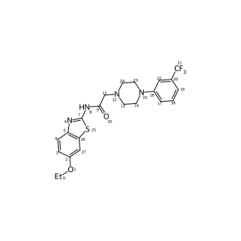 CCOc1ccc2nc(NC(=O)CN3CCN(c4cccc(C(F)(F)F)c4)CC3)sc2c1